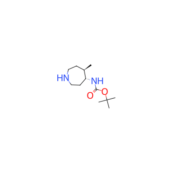 C[C@@H]1CCNCC[C@H]1NC(=O)OC(C)(C)C